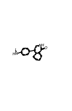 O=c1[nH]cc(-c2ccc(NI)cc2)c2ccccc12